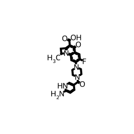 CC1Cc2c(C(=O)O)c(=O)c3cc(F)c(N4CCN(C(=O)C5=CNC(N)=C=C5)CC4)cc3n21